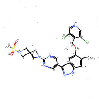 COc1cc2[nH]nc(-c3cnc(N4CC5(C4)CN(S(C)(=O)=O)C5)nc3)c2cc1O[C@H](C)c1c(Cl)cncc1Cl